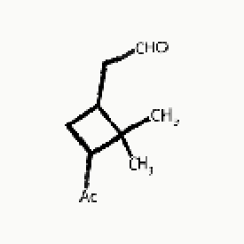 CC(=O)C1CC(CC=O)C1(C)C